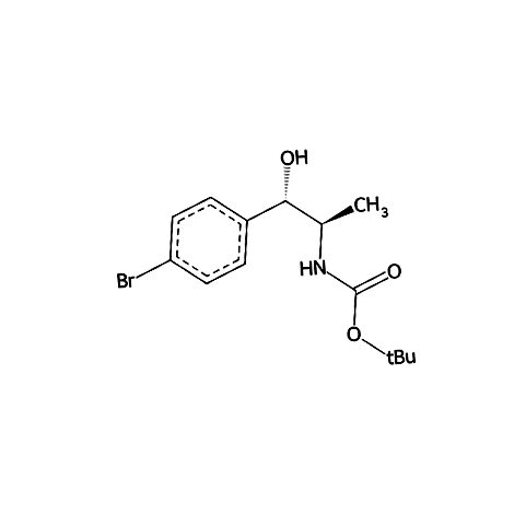 C[C@@H](NC(=O)OC(C)(C)C)[C@@H](O)c1ccc(Br)cc1